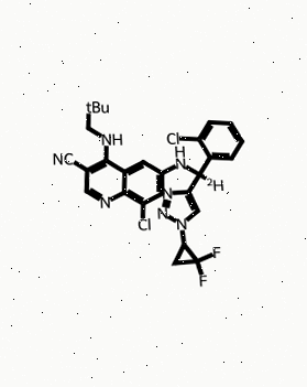 [2H]C(Nc1cc(Cl)c2ncc(C#N)c(NCC(C)(C)C)c2c1)(c1cn(C2CC2(F)F)nn1)c1ccccc1Cl